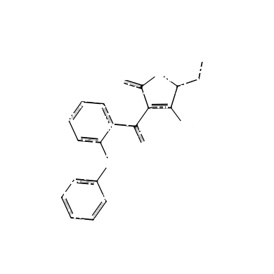 CC(C)CC1OC(=O)C(C(=O)c2ccccc2Oc2ccccc2)=C1O